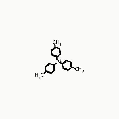 Cc1ccc([PH2](c2ccc(C)cc2)c2ccc(C)cc2)cc1